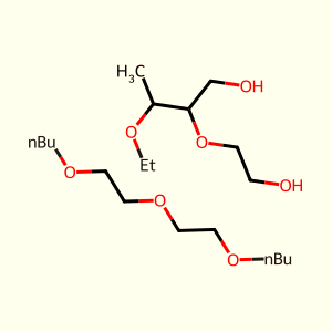 CCCCOCCOCCOCCCC.CCOC(C)C(CO)OCCO